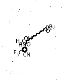 CCCC[S+]([O-])CCCCCCCCCC[C@](C)(O)C(=O)Nc1ccc(C#N)c(C(F)(F)F)c1